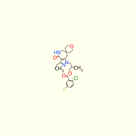 CCc1nn(C[C@@H](C)COC(=O)c2cc(F)ccc2Cl)c2c1C(=O)NCC1(CCOCC1)C2